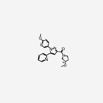 COc1ccc(-n2nc(C(=O)N3CC[C@@H](OC)C3)cc2-c2ccccn2)cn1